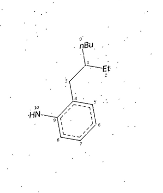 CCCCC(CC)Cc1ccccc1[NH]